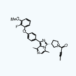 CC#CC(=O)N1CC[C@@H](c2nc(-c3ccc(Oc4cccc(OC)c4F)cc3)c3c(C)ncc(C)n23)C1